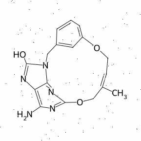 C/C1=C/COc2cccc(c2)Cn2c(O)nc3c(N)nc(nc32)OC1